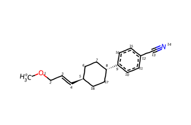 COCC=C[C@H]1CC[C@H](c2ccc(C#N)cc2)CC1